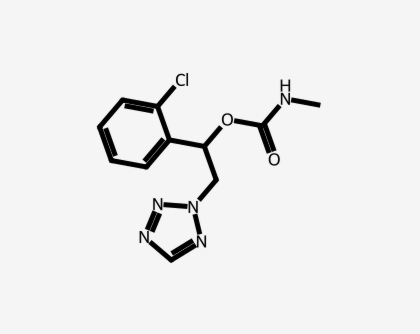 CNC(=O)OC(Cn1ncnn1)c1ccccc1Cl